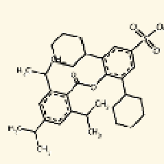 CC(C)c1cc(C(C)C)c(C(=O)Oc2c(C3CCCCC3)cc(S(=O)(=O)O)cc2C2CCCCC2)c(C(C)C)c1